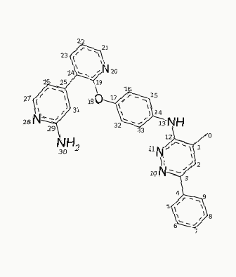 Cc1cc(-c2ccccc2)nnc1Nc1ccc(Oc2ncccc2-c2ccnc(N)c2)cc1